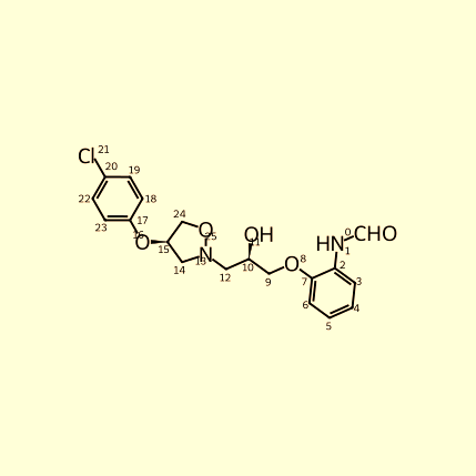 O=CNc1ccccc1OC[C@H](O)CN1C[C@@H](Oc2ccc(Cl)cc2)CO1